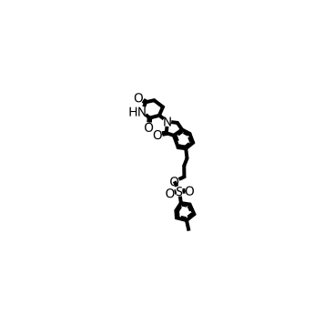 Cc1ccc(S(=O)(=O)OCCCc2ccc3c(c2)C(=O)N(C2CCC(=O)NC2=O)C3)cc1